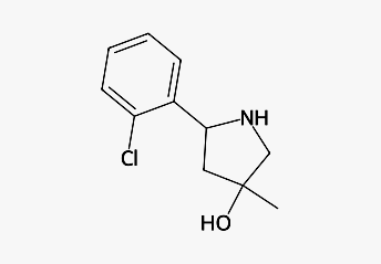 CC1(O)CNC(c2ccccc2Cl)C1